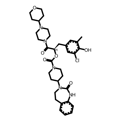 Cc1cc(C[C@@H](OC(=O)N2CCC(N3CCc4ccccc4NC3=O)CC2)C(=O)N2CCN(C3CCOCC3)CC2)cc(Cl)c1O